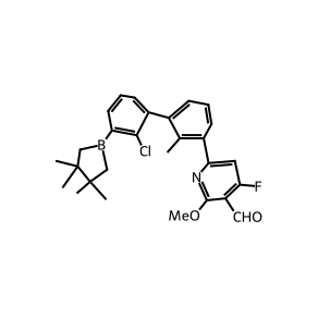 COc1nc(-c2cccc(-c3cccc(B4CC(C)(C)C(C)(C)C4)c3Cl)c2C)cc(F)c1C=O